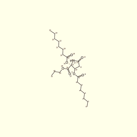 CCCCCCCC(=O)OC1CC(=O)N[C@]1(OC(=O)CCCCCCC)C(=O)OCCC